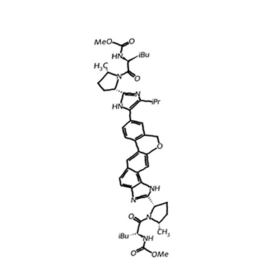 CC[C@H](C)[C@H](NC(=O)OC)C(=O)N1[C@@H](C)CC[C@H]1c1nc(C(C)C)c(-c2ccc3c(c2)COc2cc4c(ccc5nc([C@@H]6CC[C@H](C)N6C(=O)[C@@H](NC(=O)OC)[C@@H](C)CC)[nH]c54)cc2-3)[nH]1